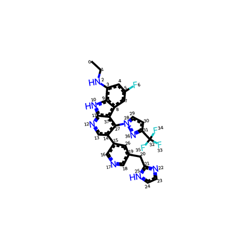 CCNc1cc(F)cc2c1[nH]c1ncc(-c3cncc(Cc4ncc[nH]4)c3)c(-n3ccc(C(F)(F)F)n3)c12